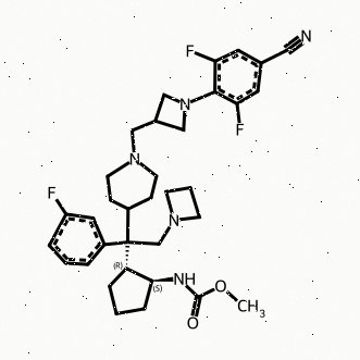 COC(=O)N[C@H]1CCC[C@@H]1C(CN1CCC1)(c1cccc(F)c1)C1CCN(CC2CN(c3c(F)cc(C#N)cc3F)C2)CC1